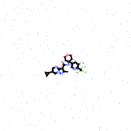 Cc1nn2cc(C3CC3)cnc2c1C(=O)NC1(c2cnc(C(F)(F)F)c(F)c2)CCOCC1